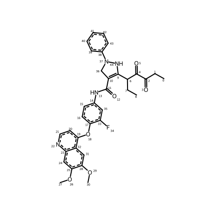 CCC(=O)C(=O)C(CC)C1=C(C(=O)Nc2ccc(Oc3ccnc4cc(OC)c(OC)cc34)c(F)c2)CN(c2ccccc2)N1